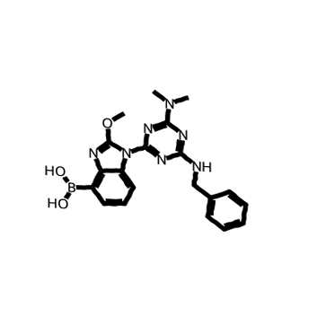 COc1nc2c(B(O)O)cccc2n1-c1nc(NCc2ccccc2)nc(N(C)C)n1